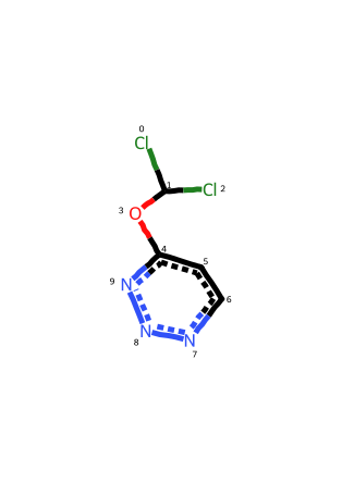 ClC(Cl)Oc1ccnnn1